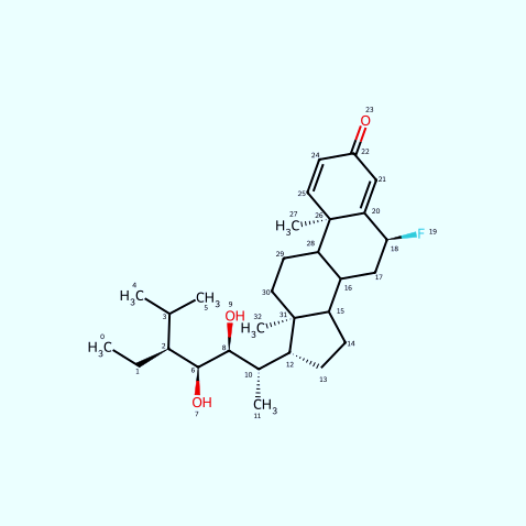 CC[C@@H](C(C)C)[C@H](O)[C@@H](O)[C@@H](C)[C@H]1CCC2C3C[C@H](F)C4=CC(=O)C=C[C@]4(C)C3CC[C@@]21C